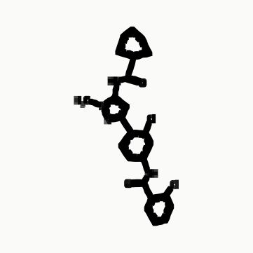 Cn1nc(-c2ccc(NC(=O)c3ccccc3Cl)cc2Cl)cc1NC(=O)c1ccccc1